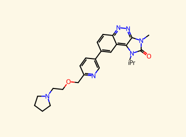 CC(C)n1c(=O)n(C)c2nnc3ccc(-c4ccc(COCCN5CCCC5)nc4)cc3c21